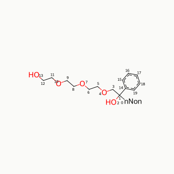 CCCCCCCCCC(O)(COCCOCCOCCO)c1ccccc1